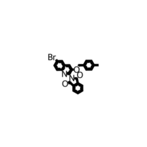 Cc1ccc(COc2cc3cc(Br)ccc3nc2N2C(=O)c3ccccc3C2=O)cc1